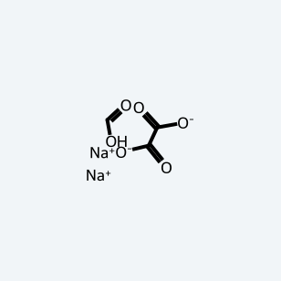 O=C([O-])C(=O)[O-].O=CO.[Na+].[Na+]